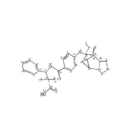 CCC1(Oc2ccc(C(=O)OC(c3ccccc3)C(F)(F)C(=O)O)cc2)CC2C[C@H]1C1CCCC21